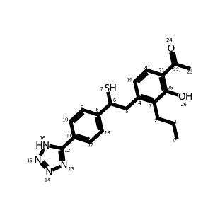 CCCc1c(CC(S)c2ccc(-c3nnn[nH]3)cc2)ccc(C(C)=O)c1O